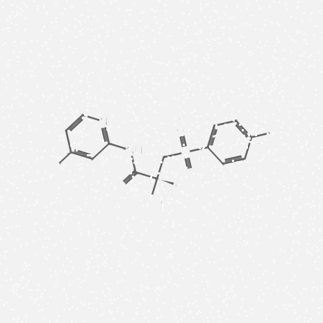 Cc1ccnc(NC(=O)[C@@](C)(O)CS(=O)(=O)c2ccc(F)cc2)c1